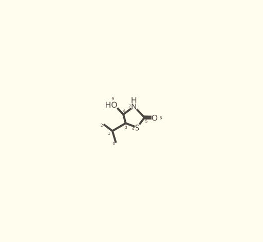 CC(C)C1SC(=O)NC1O